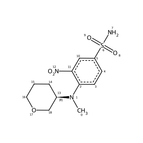 CN(c1ccc(S(N)(=O)=O)cc1[N+](=O)[O-])[C@@H]1CCCOC1